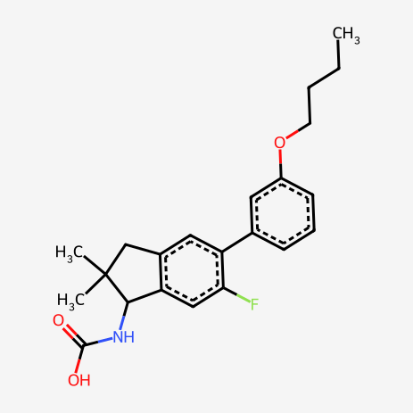 CCCCOc1cccc(-c2cc3c(cc2F)C(NC(=O)O)C(C)(C)C3)c1